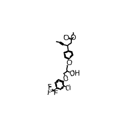 CC#CC(CC(=O)OC)c1ccc(OCC(O)COc2ccc(C(F)(F)F)cc2Cl)cc1